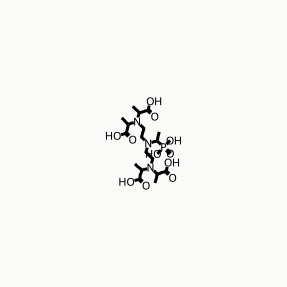 CC(C(=O)O)N(CCN(CCN(C(C)C(=O)O)C(C)C(=O)O)C(C)P(=O)(O)O)C(C)C(=O)O